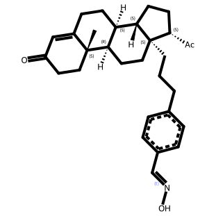 CC(=O)[C@H]1CC[C@H]2[C@@H]3CCC4=CC(=O)CC[C@@]4(C)[C@@H]3CC[C@]12CCCc1ccc(/C=N/O)cc1